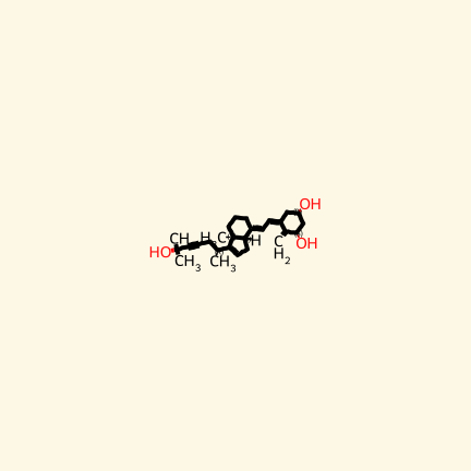 C=C1C(=CC=C2CCC[C@]3(C)C([C@H](C)CC#CC(C)(C)O)=CC[C@@H]23)C[C@@H](O)C[C@@H]1O